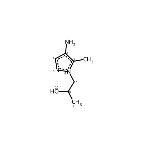 Cc1c(N)cnn1CC(C)O